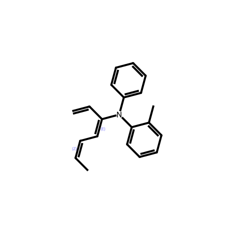 C=C/C(=C\C=C/C)N(c1ccccc1)c1ccccc1C